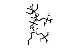 CCCC[Si](C)(CCC(F)(F)F)OC(C)(C)[Si](C)(CCC(F)(F)F)OC(CC)(CC)[SiH](C)C